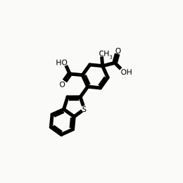 CC1(C(=O)O)C=CC(c2cc3ccccc3s2)=C(C(=O)O)C1